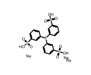 O=S(=O)(O)c1cccc(P(c2cccc(S(=O)(=O)O)c2)c2cccc(S(=O)(=O)O)c2)c1.[Na].[Na].[Na]